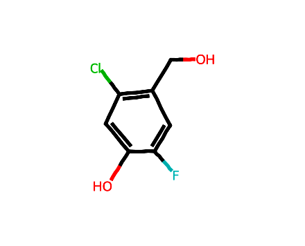 OCc1cc(F)c(O)cc1Cl